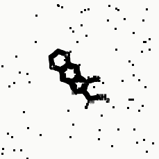 CCn1c([C@@H](C)N)nc2cc3c(cc21)OCCO3